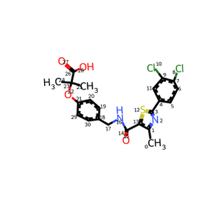 Cc1nc(-c2ccc(Cl)c(Cl)c2)sc1C(=O)NCc1ccc(OC(C)(C)C(=O)O)cc1